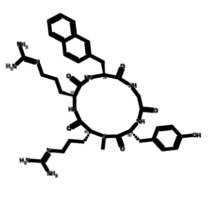 CN1C(=O)[C@@H](Cc2ccc(O)cc2)NC(=O)CNC(=O)[C@H](Cc2ccc3ccccc3c2)NC(=O)[C@H](CCCN=C(N)N)NC(=O)[C@H]1CCCN=C(N)N